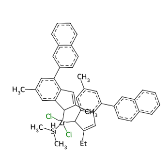 CCC1=Cc2c(-c3ccc4ccccc4c3)cc(C)cc2[CH]1[Zr]([Cl])([Cl])([CH]1C(C)=Cc2c(-c3ccc4ccccc4c3)cc(C)cc21)[SiH](C)C